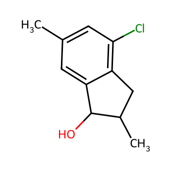 Cc1cc(Cl)c2c(c1)C(O)C(C)C2